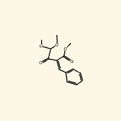 COC(=O)C(=Cc1ccccc1)C(=O)C(OC)OC